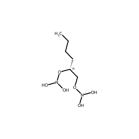 CCCC[C@H](CON(O)O)ON(O)O